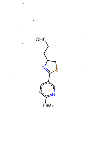 COc1ccc(C2=NC(CCC=O)CS2)cn1